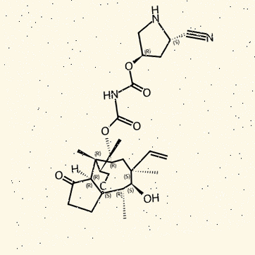 C=C[C@]1(C)C[C@@H](OC(=O)NC(=O)O[C@H]2CN[C@H](C#N)C2)[C@]2(C)[C@H](C)CC[C@]3(CCC(=O)[C@H]32)[C@@H](C)[C@@H]1O